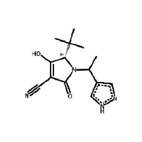 CC(c1cn[nH]c1)N1C(=O)C(C#N)=C(O)[C@@H]1C(C)(C)C